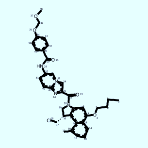 CCCCOc1cc2c(c3c(C)cccc13)[C@H](CCl)CN2C(=O)c1cn2cc(NC(=O)c3ccc(OCOC)cc3)ccc2n1